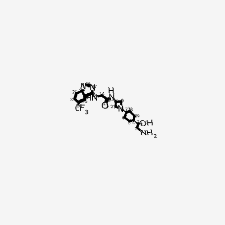 NCC(O)[C@H]1CC[C@@H](N2CC(NC(=O)CNc3ncnc4ccc(C(F)(F)F)cc34)C2)CC1